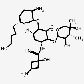 C[C@@H]1C(O)[C@@H](OC2C(O)C(O[C@H]3O[C@H](CCCCO)CCC3N)[C@@H](N)C[C@H]2NC(=N)C2(O)CC(N)C2)OCC1(C)O